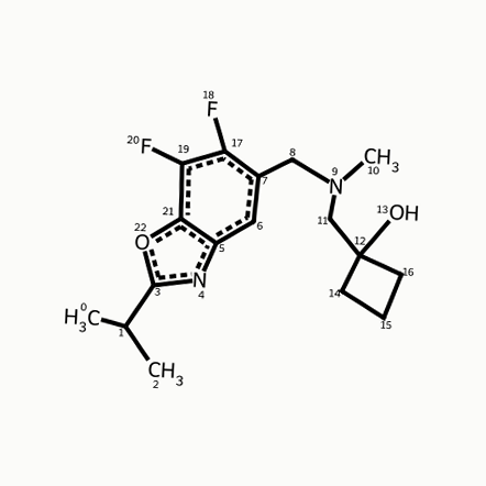 CC(C)c1nc2cc(CN(C)CC3(O)CCC3)c(F)c(F)c2o1